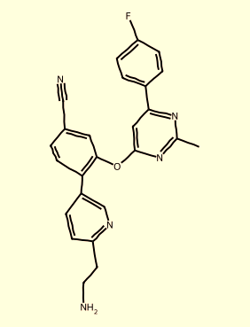 Cc1nc(Oc2cc(C#N)ccc2-c2ccc(CCN)nc2)cc(-c2ccc(F)cc2)n1